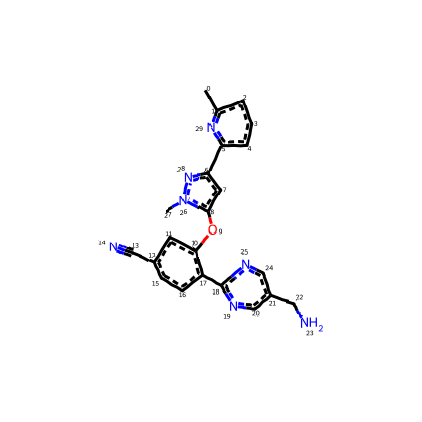 Cc1cccc(-c2cc(Oc3cc(C#N)ccc3-c3ncc(CN)cn3)n(C)n2)n1